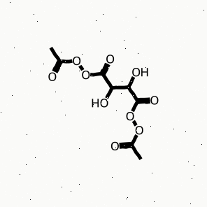 CC(=O)OOC(=O)C(O)C(O)C(=O)OOC(C)=O